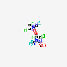 C[C@H](O)COc1cc(-c2ccc(C(F)(F)F)nc2)n2nc(-c3ccc(OC[C@H](C)Oc4cc(-c5ccc(C(F)(F)F)nc5)n5nc(-c6ccccc6Cl)c(-c6ccc(Cl)cc6)c5n4)cc3Cl)c(-c3ccc(Cl)cc3)c2n1